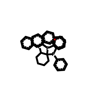 c1ccc(P(c2ccccc2)C2CCCCC2(P(c2ccccc2)c2ccccc2)P(c2ccccc2)c2ccccc2)cc1